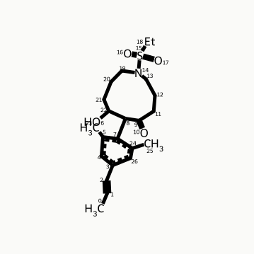 CC#Cc1cc(C)c(C2C(=O)CCCN(S(=O)(=O)CC)CCCC2O)c(C)c1